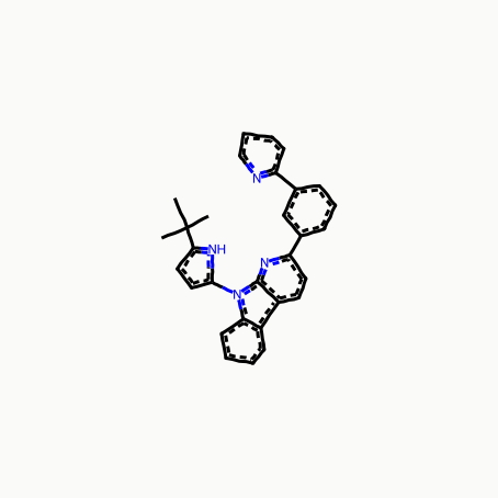 CC(C)(C)c1ccc(-n2c3ccccc3c3ccc(-c4cccc(-c5ccccn5)c4)nc32)[nH]1